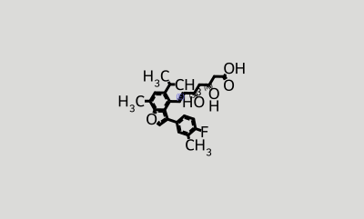 Cc1cc(-c2coc3c(C)cc(C(C)C)c(/C=C/[C@@H](O)C[C@@H](O)CC(=O)O)c23)ccc1F